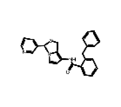 O=C(Nc1ccn2c1CSC2c1cccnc1)c1ccccc1Cc1ccccc1